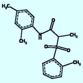 Cc1ccc(NC(=O)C(C)S(=O)(=O)c2ccccc2C)c(C)c1